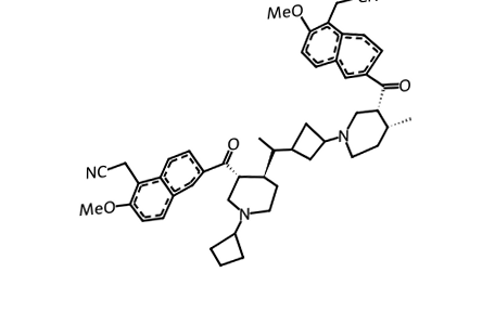 COc1ccc2cc(C(=O)[C@H]3CN(C4CC(C(C)[C@H]5CCN(C6CCC6)C[C@@H]5C(=O)c5ccc6c(CC#N)c(OC)ccc6c5)C4)CC[C@H]3C)ccc2c1CC#N